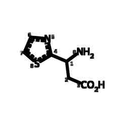 NC(CC(=O)O)c1nccs1